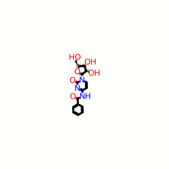 O=C(Nc1ccn([C@@H]2O[C@@H](CO)[C@@H](O)[C@H]2O)c(=O)n1)c1ccccc1